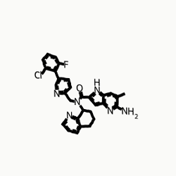 Cc1cc2[nH]c(C(=O)N(Cc3ccc(-c4c(F)cccc4Cl)cn3)C3CCCc4cccnc43)cc2nc1N